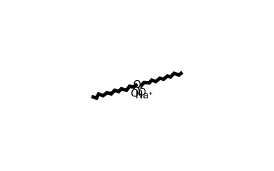 CCCCCCCCCCCCOCCCCCCCCCCCC.O=C[O-].[Na+]